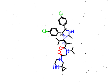 C/C(C(=O)N(CC(=O)N1CCNC2(CC2)C1)C(C)C)=C(/C(C)C)N1C(C)N[C@@H](c2ccc(Cl)cc2)[C@H]1c1ccc(Cl)cc1